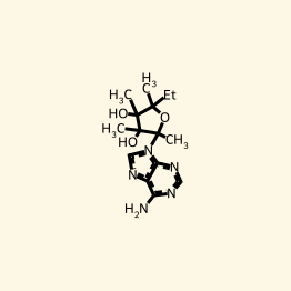 CCC1(C)OC(C)(n2cnc3c(N)ncnc32)C(C)(O)C1(C)O